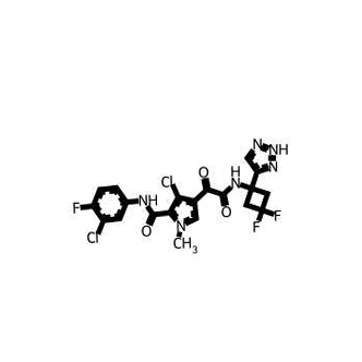 Cn1cc(C(=O)C(=O)NC2(c3cn[nH]n3)CC(F)(F)C2)c(Cl)c1C(=O)Nc1ccc(F)c(Cl)c1